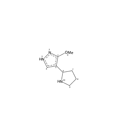 COc1n[nH]cc1C1CCCN1